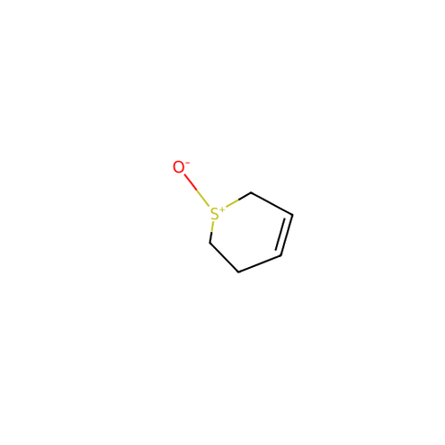 [O-][S+]1CC=CCC1